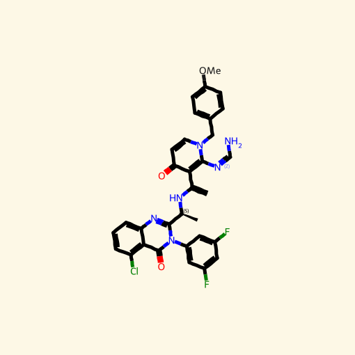 C=C(N[C@@H](C)c1nc2cccc(Cl)c2c(=O)n1-c1cc(F)cc(F)c1)c1c(/N=C\N)n(Cc2ccc(OC)cc2)ccc1=O